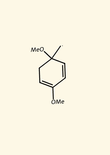 [CH2]C1(OC)C=CC(OC)=CC1